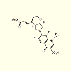 COC(=O)/C=C/N1CCO[C@H]2CN(c3c(F)cc4c(=O)c(C(=O)O)cn(C5CC5)c4c3F)C[C@H]21